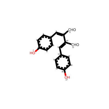 O=CC(=Cc1ccc(O)cc1)C(C=O)=Cc1ccc(O)cc1